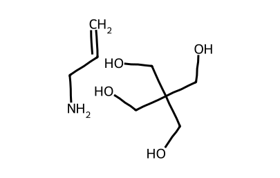 C=CCN.OCC(CO)(CO)CO